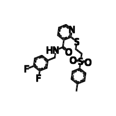 Cc1ccc(S(=O)(=O)CCSc2ncccc2C(=O)NCc2ccc(F)c(F)c2)cc1